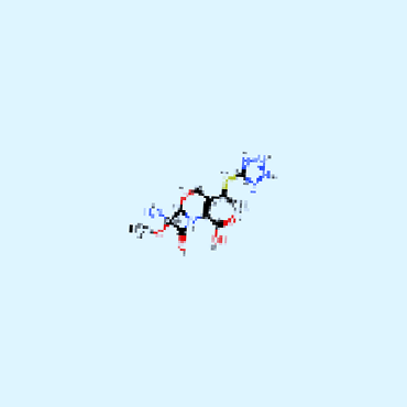 CO[C@@]1(N)C(=O)N2C(C(=O)O)=C(C(C)Sc3nnn[nH]3)COC21